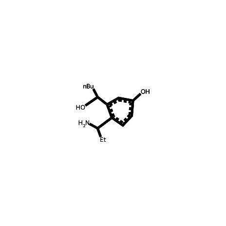 CCCCC(O)c1cc(O)ccc1C(N)CC